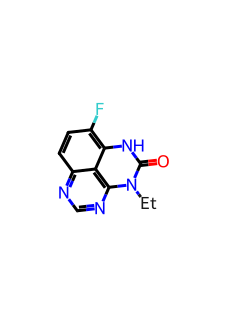 CCN1C(=O)Nc2c(F)ccc3ncnc1c23